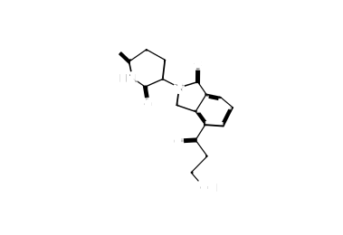 O=C1CCC(N2Cc3c(C(=O)CCO)cccc3C2=O)C(=O)N1